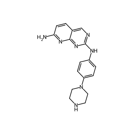 Nc1ccc2cnc(Nc3ccc(N4CCNCC4)cc3)nc2n1